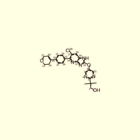 CC(C)(CO)c1ncc(Oc2nc3nc(-c4ccc(C5=CCOCC5)cc4)c(Cl)cc3[nH]2)cn1